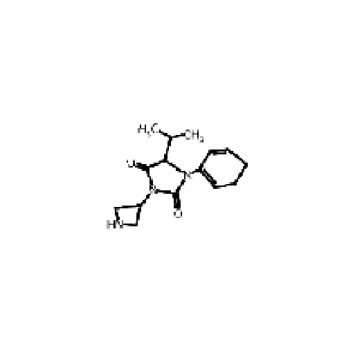 CC(C)C1C(=O)N(C2CNC2)C(=O)N1C1=CCCC=C1